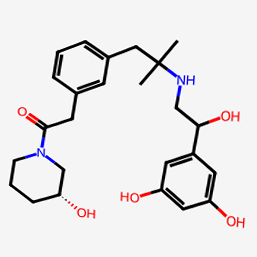 CC(C)(Cc1cccc(CC(=O)N2CCC[C@@H](O)C2)c1)NCC(O)c1cc(O)cc(O)c1